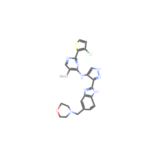 COc1cnc(-c2sccc2Cl)nc1Nc1c[nH]nc1-c1nc2cc(CN3CCOCC3)ccc2[nH]1